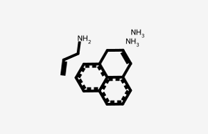 C1=Cc2cccc3cccc(c23)C1.C=CCN.N.N